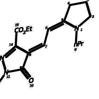 CCCN1CCC/C1=C/C=C1/C(=O)N(C)N=C1C(=O)OCC